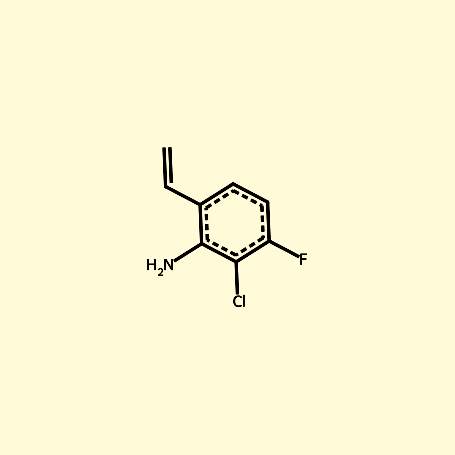 C=Cc1ccc(F)c(Cl)c1N